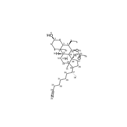 CC[C@@H]1C2C[C@H](O)CCC2(C)[C@H]2CCC3(C)C([C@H](C)CCCCCC#N)CC[C@H]3[C@@H]2[C@@H]1OC(C)=O